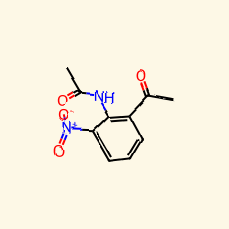 CC(=O)Nc1c(C(C)=O)cccc1[N+](=O)[O-]